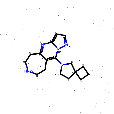 c1cc2nc3c(c(N4CCC5(CCC5)C4)n2n1)CCNCC3